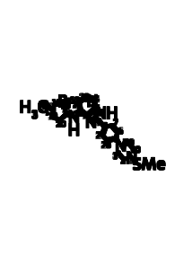 CSN1CCN(c2ccc(-c3nc4c(NC5CCN(C)CC5)c(Br)cnc4[nH]3)cc2)CC1